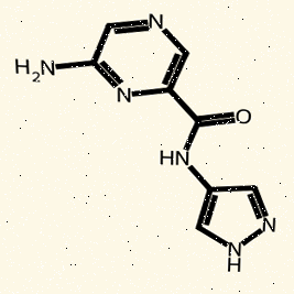 Nc1cncc(C(=O)Nc2cn[nH]c2)n1